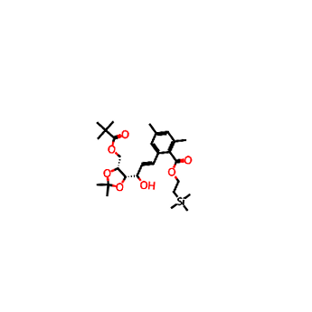 Cc1cc(C)c(C(=O)OCC[Si](C)(C)C)c(/C=C/C(O)[C@@H]2OC(C)(C)O[C@@H]2COC(=O)C(C)(C)C)c1